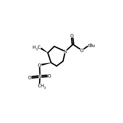 C[C@H]1CN(C(=O)OC(C)(C)C)CC[C@H]1OS(C)(=O)=O